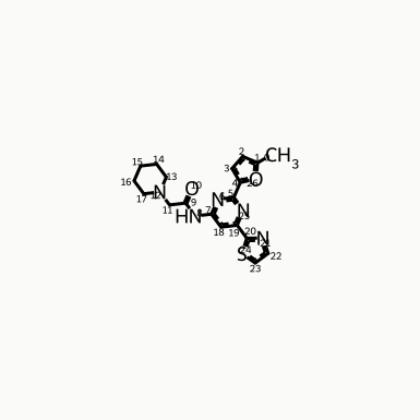 Cc1ccc(-c2nc(NC(=O)CN3CCCCC3)cc(-c3nccs3)n2)o1